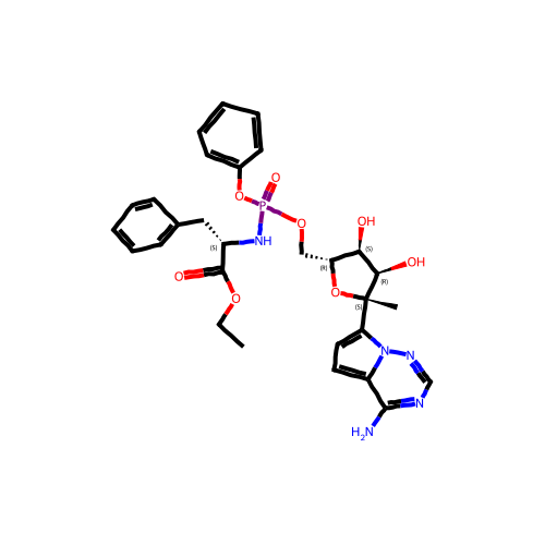 CCOC(=O)[C@H](Cc1ccccc1)NP(=O)(OC[C@H]1O[C@@](C)(c2ccc3c(N)ncnn23)[C@H](O)[C@@H]1O)Oc1ccccc1